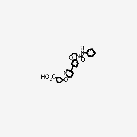 O=C(O)C1CCC(Oc2ccc(-c3ccc4c(c3)OCCN4C(=O)Nc3ccccc3)cn2)C1